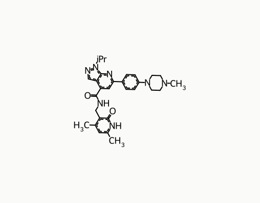 Cc1cc(C)c(CNC(=O)c2cc(-c3ccc(N4CCN(C)CC4)cc3)nc3c2cnn3C(C)C)c(=O)[nH]1